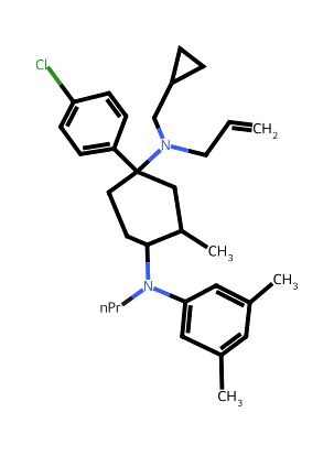 C=CCN(CC1CC1)C1(c2ccc(Cl)cc2)CCC(N(CCC)c2cc(C)cc(C)c2)C(C)C1